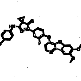 COc1cc2oc3c(Oc4ccc(NC(=O)C5(C(=O)Nc6ccc(F)cc6)CC5)cc4F)ccnc3c2cc1OC